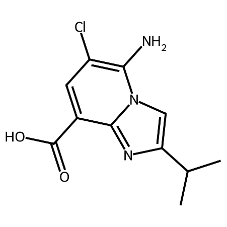 CC(C)c1cn2c(N)c(Cl)cc(C(=O)O)c2n1